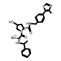 CC[C@H](C)[C@H](NC(C)c1ccccc1)C(=O)N1CC(O)C[C@H]1C(=O)NCc1ccc(-c2scnc2C)cc1